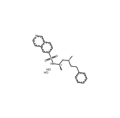 C[C@H](CN(C)CCc1ccccc1)NS(=O)(=O)c1ccc2cnccc2c1.Cl.Cl